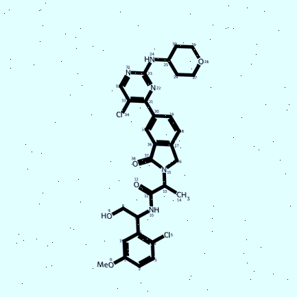 COc1ccc(Cl)c(C(CO)NC(=O)C(C)N2Cc3ccc(-c4nc(NC5CCOCC5)ncc4Cl)cc3C2=O)c1